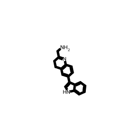 NCC1=Nc2ccc(-c3c[nH]c4ccccc34)cc2CC1